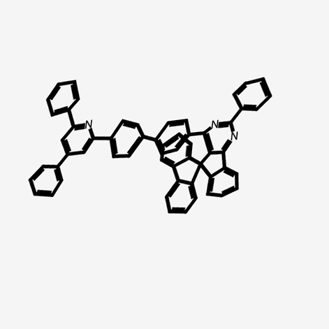 c1ccc(-c2cc(-c3ccccc3)nc(-c3ccc(-c4ccc(-c5nc(-c6ccccc6)nc6c5C5(c7ccccc7-c7ccccc75)c5ccccc5-6)cc4)cc3)c2)cc1